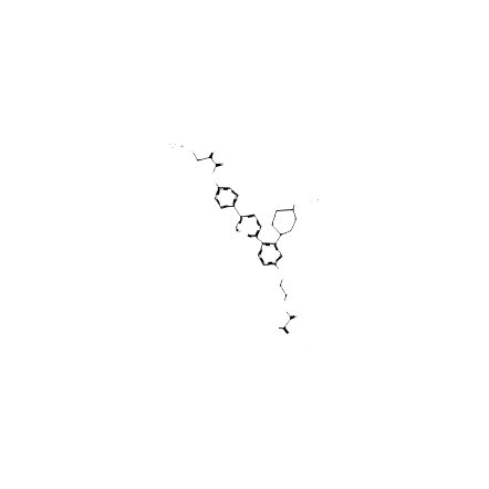 C=C(C)C(=O)OCCOc1ccc(-c2ccc(-c3ccc(OC(=O)C(=C)COC)cc3)cc2)c(C2CCC(CCCCCC)CC2)c1